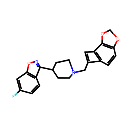 Fc1ccc2c(C3CCN(CC4=Cc5c4ccc4c5OCO4)CC3)noc2c1